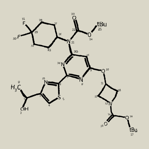 CC(O)c1csc(-c2nc(OC3CN(C(=O)OC(C)(C)C)C3)cc(N(C(=O)OC(C)(C)C)C3CCC(F)(F)CC3)n2)n1